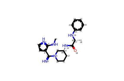 CNc1[nH]ccc1C(=N)N1CCC[C@@H](NC(=O)[C@@H](C)Nc2ccccc2)C1